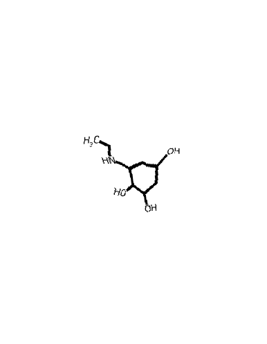 CCNC1CC(O)CC(O)C1O